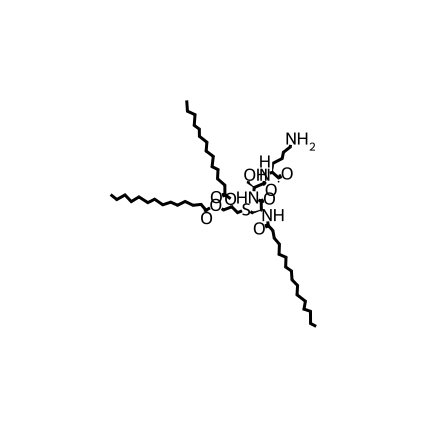 CCCCCCCCCCCCCCCC(=O)N[C@@H](CSCC(COC(=O)CCCCCCCCCCCCC)OC(=O)CCCCCCCCCCCCC)C(=O)N[C@@H](CO)C(=O)N[C@H]([C]=O)CCCCN